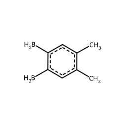 Bc1cc(C)c(C)cc1B